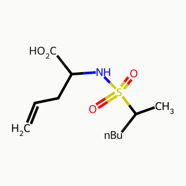 C=CCC(NS(=O)(=O)C(C)CCCC)C(=O)O